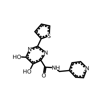 O=C(NCc1ccncc1)c1nc(-c2cccs2)nc(O)c1O